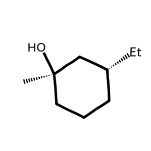 CC[C@@H]1CCC[C@@](C)(O)C1